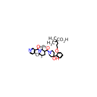 CCCC1C(C(=O)N2CCC(O)(c3ccccc3OCCCC(C)(C)C(=O)O)CC2)CCCN1C(=O)c1cnccc1C(F)(F)F